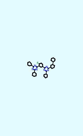 Fc1ccc(-c2nc(-c3ccccc3)nc(-c3cccc(-c4ccccc4)c3)n2)cc1-c1nc(-c2ccccc2)nc(-c2ccccc2)n1